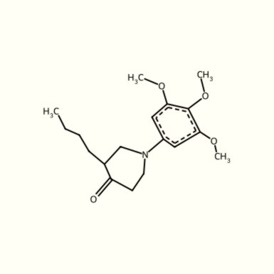 CCCCC1CN(c2cc(OC)c(OC)c(OC)c2)CCC1=O